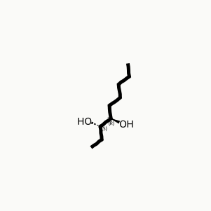 CCCCC[C@@H](O)[C@@H](O)CC